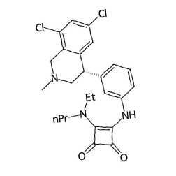 CCCN(CC)c1c(Nc2cccc([C@@H]3CN(C)Cc4c(Cl)cc(Cl)cc43)c2)c(=O)c1=O